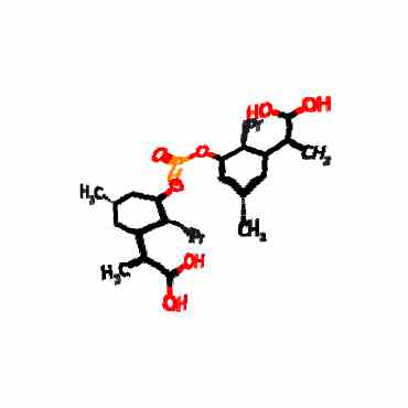 CC(C(O)O)C1C[C@H](C)CC(O[PH](=O)OC2C[C@@H](C)CC(C(C)C(O)O)[C@@H]2C(C)C)[C@H]1C(C)C